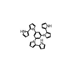 c1c[nH]c(-c2cccn2-c2cc(-n3cccc3-c3ccc[nH]3)cc(-n3cccc3-c3ccc[nH]3)c2)c1